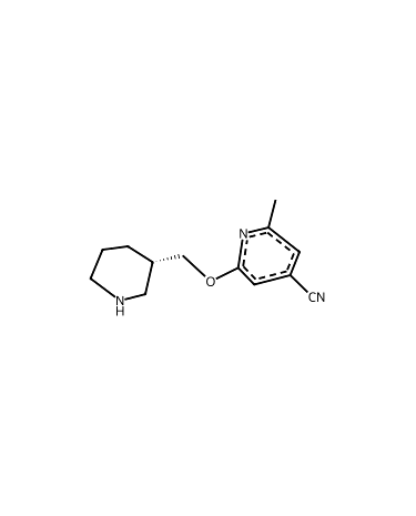 Cc1cc(C#N)cc(OC[C@H]2CCCNC2)n1